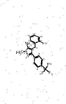 Cn1nc(-c2ccc(C(F)(F)F)cc2)c(Cc2ccccc2F)c1N